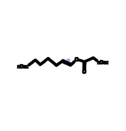 CCCCCCCCCCCCCC/C=C/OC(=O)CCCCCCCCCCC